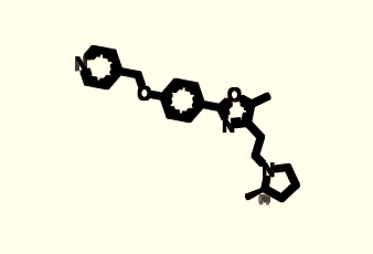 Cc1oc(-c2ccc(OCc3ccncc3)cc2)nc1CCN1CCC[C@H]1C